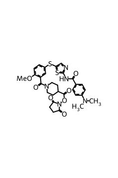 COc1ccc(Sc2cnc(NC(=O)c3ccc(N(C)C)cc3)s2)cc1C(=O)N1CCC(C(=O)ON2C(=O)CCC2=O)CC1